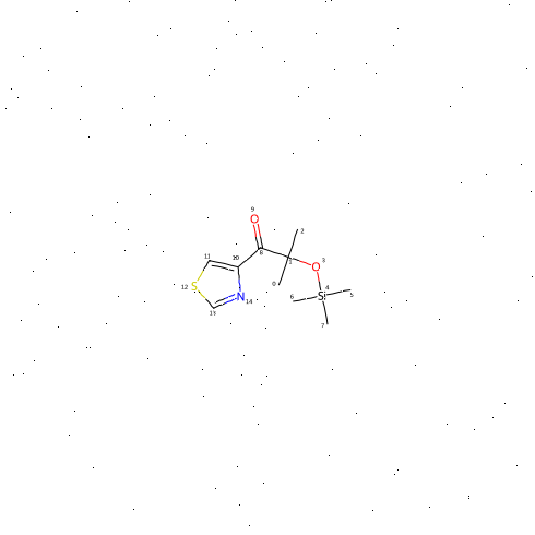 CC(C)(O[Si](C)(C)C)C(=O)c1cscn1